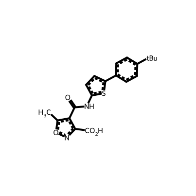 Cc1onc(C(=O)O)c1C(=O)Nc1ccc(-c2ccc(C(C)(C)C)cc2)s1